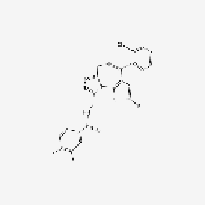 CCc1cc2c(s1)-n1c(nnc1CNC(=O)c1ccc(C)c(C)c1)CN=C2c1ccccc1Cl